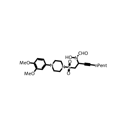 CCCCCC#CC(CS(=O)(=O)N1CCN(c2ccc(OC)c(OC)c2)CC1)N(O)C=O